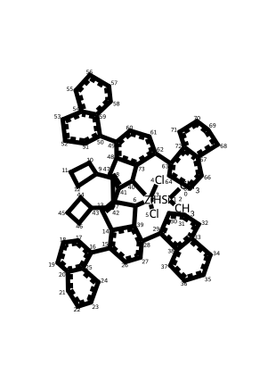 C[SiH](C)[Zr]([Cl])([Cl])([CH]1C(CC2CCC2)=Cc2c(-c3cccc4ccccc34)ccc(-c3cccc4ccccc34)c21)[CH]1C(CC2CCC2)=Cc2c(-c3cccc4ccccc34)ccc(-c3cccc4ccccc34)c21